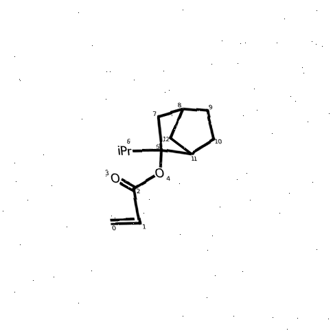 C=CC(=O)OC1(C(C)C)CC2CCC1C2